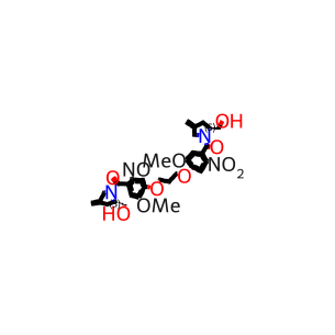 C=C1C[C@@H](CO)N(C(=O)c2cc(OC)c(OCCCOc3cc([N+](=O)[O-])c(C(=O)N4CC(=C)C[C@H]4CO)cc3OC)cc2N=O)C1